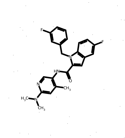 Cc1cc(N(C)C)ncc1NC(=O)c1cc2cc(F)ccc2n1Cc1cccc(F)c1